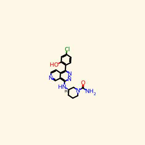 NC(=O)N1CCC[C@@H](Nc2nnc(-c3ccc(Cl)cc3O)c3ccncc23)C1